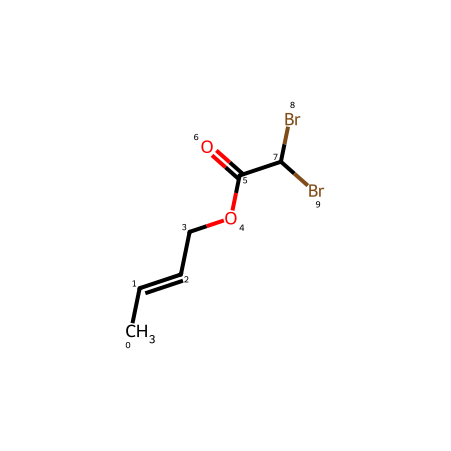 CC=CCOC(=O)C(Br)Br